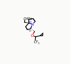 COC[C@@]12CCCN1[C@H](COC(C1CC1)C(F)(F)F)CC2